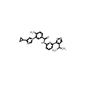 Cc1ccc(C(=O)Nc2cccc(-c3sncc3C(C)C)n2)cc1-n1cnc(C2CC2)c1